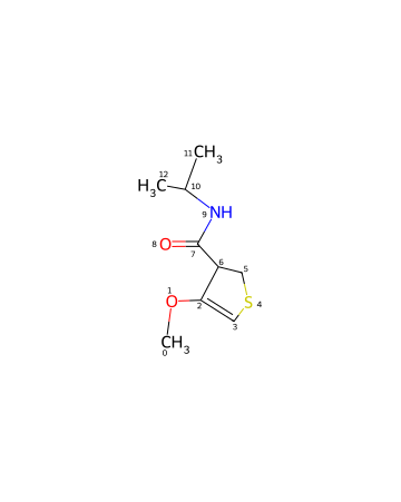 COC1=CSCC1C(=O)NC(C)C